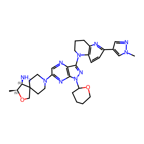 C[C@@H]1OCC2(CCN(c3cnc4c(N5CCCc6nc(-c7cnn(C)c7)ccc65)nn(C5CCCCO5)c4n3)CC2)[C@@H]1N